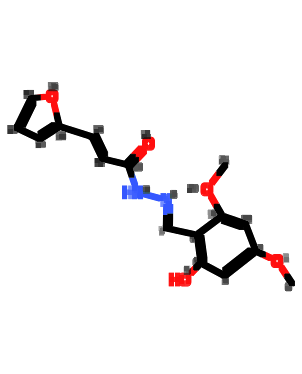 COc1cc(O)c(/C=N/NC(=O)/C=C/c2ccco2)c(OC)c1